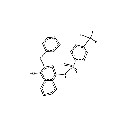 O=S(=O)(Nc1cc(Sc2ccccc2)c(O)c2ccccc12)c1ccc(C(F)(F)F)cc1